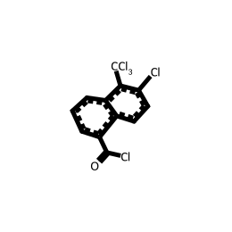 O=C(Cl)c1cccc2c(C(Cl)(Cl)Cl)c(Cl)ccc12